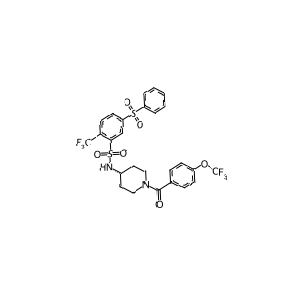 O=C(c1ccc(OC(F)(F)F)cc1)N1CCC(NS(=O)(=O)c2cc(S(=O)(=O)c3ccccc3)ccc2C(F)(F)F)CC1